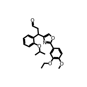 CCOc1cc(-c2nc(C(CC=O)c3ccccc3OC(C)C)co2)ccc1OC